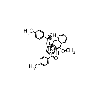 CO[C@]12c3ccccc3[C@](OC)(C3C=CC=CC31)[C@H](OC(=O)c1ccc(C)cc1)[C@@H]2OC(=O)c1ccc(C)cc1